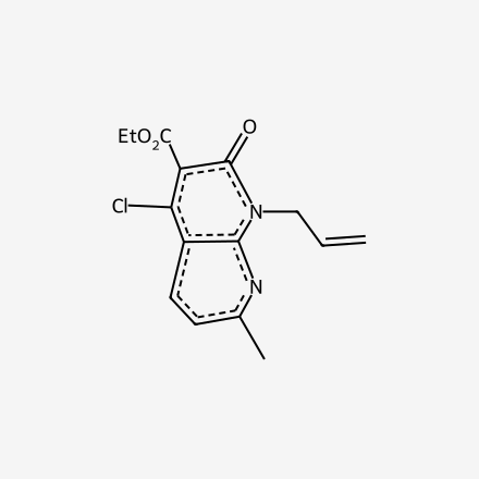 C=CCn1c(=O)c(C(=O)OCC)c(Cl)c2ccc(C)nc21